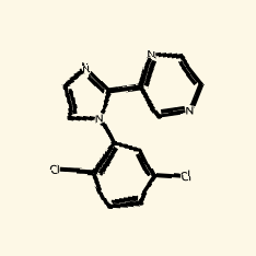 Clc1ccc(Cl)c(-n2ccnc2-c2cnccn2)c1